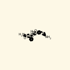 CC(C)(N)C(=O)N1CCN(C(=O)Nc2ccn(-c3ccc(CN4CC5C(N)C5C4)cc3)c(=O)n2)C(c2ccccc2)C1